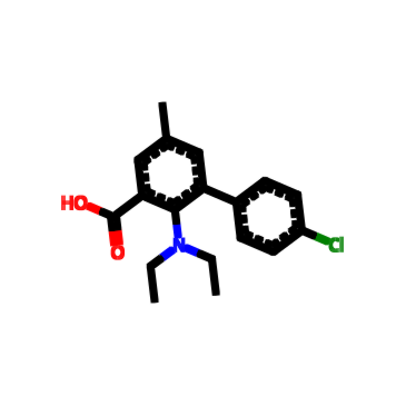 CCN(CC)c1c(C(=O)O)cc(C)cc1-c1ccc(Cl)cc1